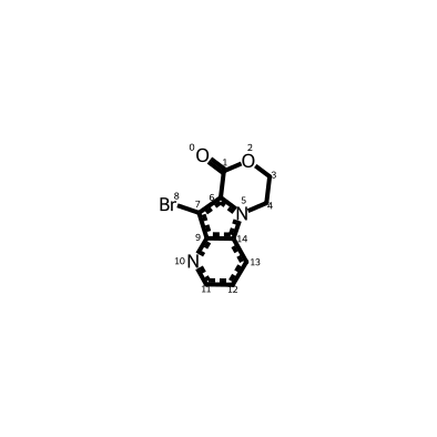 O=C1OCCn2c1c(Br)c1ncccc12